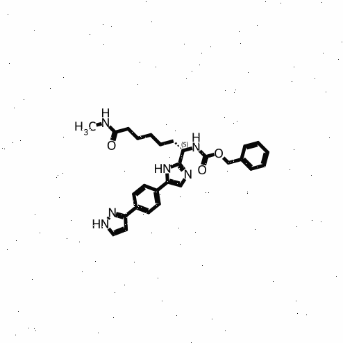 CNC(=O)CCCCC[C@H](NC(=O)OCc1ccccc1)c1ncc(-c2ccc(-c3cc[nH]n3)cc2)[nH]1